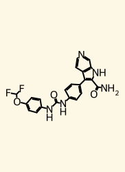 NC(=O)c1[nH]c2cnccc2c1-c1ccc(NC(=O)Nc2ccc(OC(F)F)cc2)cc1